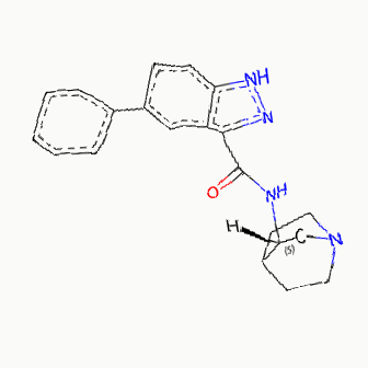 O=C(N[C@@H]1CN2CCC1CC2)c1n[nH]c2ccc(-c3ccccc3)cc12